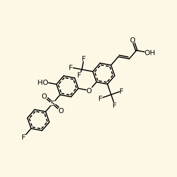 O=C(O)C=Cc1cc(C(F)(F)F)c(Oc2ccc(O)c(S(=O)(=O)c3ccc(F)cc3)c2)c(C(F)(F)F)c1